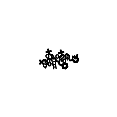 COC(=O)N(CC(C)(C)C)C(=O)NN(CCC(C)(C)C)CC(O)C(Cc1ccccc1)NC(=O)C(N1CCN(Cc2cccc(C)n2)C1=O)C(C)(C)C